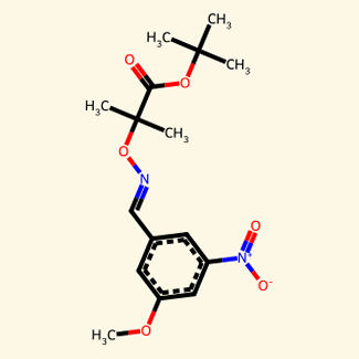 COc1cc(C=NOC(C)(C)C(=O)OC(C)(C)C)cc([N+](=O)[O-])c1